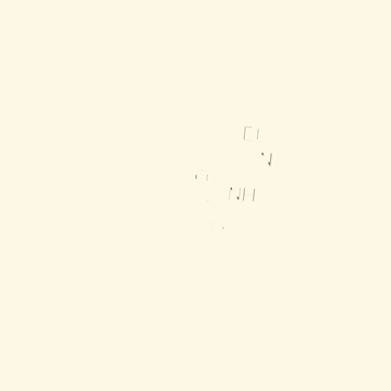 CC[N+](C)(C)CNS(=O)(=O)c1ccc(C)cc1